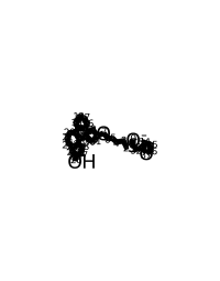 [O-][S+](CCCCCOc1ccc(C2=C(c3ccccc3)CCCc3cc(O)ccc32)cc1)Cc1ccco1